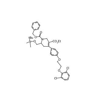 CCOC(=O)C1=C(c2ccc(OCCOc3c(Cl)cccc3Cl)cc2)CC(CO[Si](C)(C)C(C)(C)C)N(C(=O)OCc2ccccc2)C1